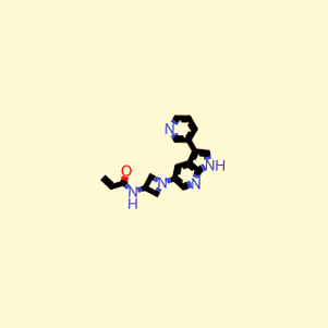 C=CC(=O)NC1CN(c2cnc3[nH]cc(-c4cccnc4)c3c2)C1